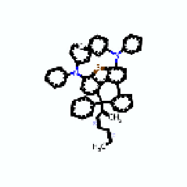 C=C(/C=C\C=C/C)C1(c2ccccc2)c2ccccc2-c2ccc(N(c3ccccc3)c3ccccc3)c3sc4c(N(c5ccccc5)c5ccccc5)ccc1c4c23